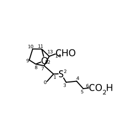 CC(SCCCC(=O)O)C1C2CCC(O2)C1C=O